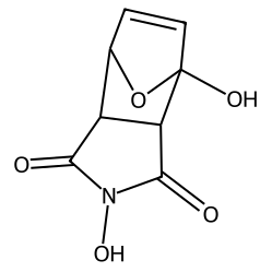 O=C1C2C3C=CC(O)(O3)C2C(=O)N1O